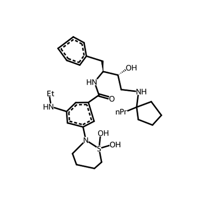 CCCC1(NC[C@@H](O)[C@H](Cc2ccccc2)NC(=O)c2cc(NCC)cc(N3CCCCS3(O)O)c2)CCCC1